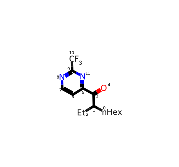 CCCCCCC(CC)C(=O)c1ccnc(C(F)(F)F)n1